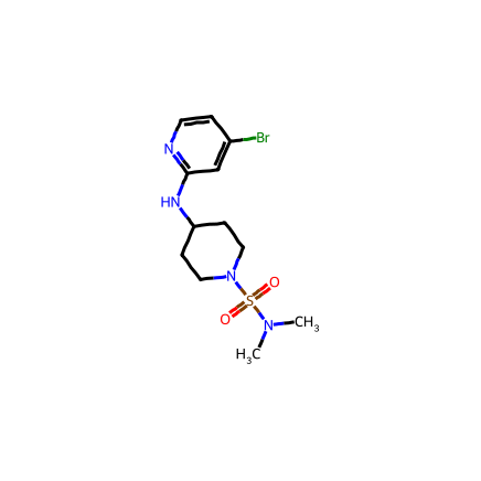 CN(C)S(=O)(=O)N1CCC(Nc2cc(Br)ccn2)CC1